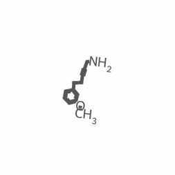 COc1cccc(CCC#CCN)c1